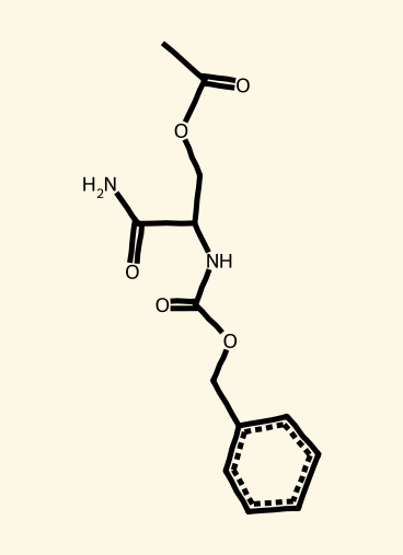 CC(=O)OCC(NC(=O)OCc1ccccc1)C(N)=O